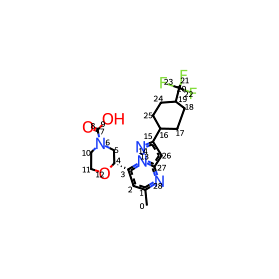 Cc1cc([C@H]2CN(C(=O)O)CCO2)n2nc(C3CCC(C(F)(F)F)CC3)cc2n1